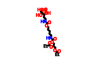 CCC(=O)OCC(COC(=O)NCCCCCOC(=O)NCCCC(C)(O)P(=O)(O)O)OC(=O)CC